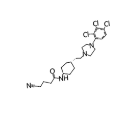 N#CCCCC(=O)N[C@H]1CC[C@H](CCN2CCN(c3ccc(Cl)c(Cl)c3Cl)CC2)CC1